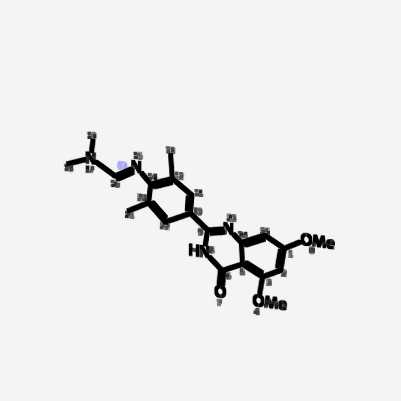 COc1cc(OC)c2c(=O)[nH]c(-c3cc(C)c(/N=C/N(C)C)c(C)c3)nc2c1